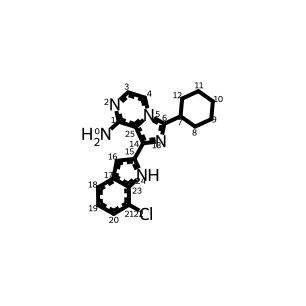 Nc1nccn2c(C3CCCCC3)nc(-c3cc4cccc(Cl)c4[nH]3)c12